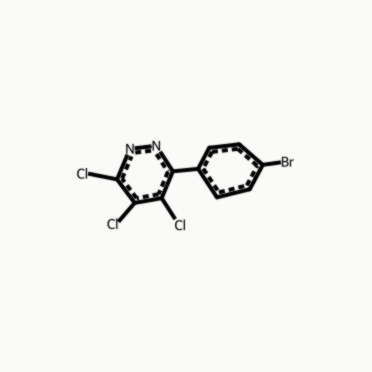 Clc1nnc(-c2ccc(Br)cc2)c(Cl)c1Cl